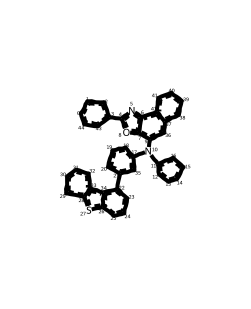 c1ccc(-c2nc3c(o2)c(N(c2ccccc2)c2cccc(-c4cccc5sc6ccccc6c45)c2)cc2ccccc23)cc1